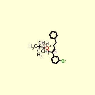 CC(C)(C)[Si](C)(C)OC/C(=C\CCc1ccccc1)c1cccc(Br)c1